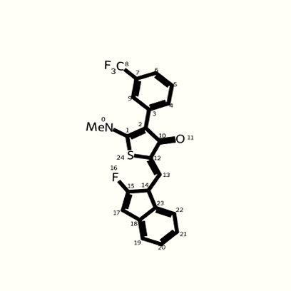 CNC1=C(c2cccc(C(F)(F)F)c2)C(=O)/C(=C/C2C(F)=Cc3ccccc32)S1